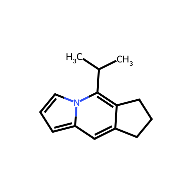 CC(C)c1c2c(cc3cccn13)CCC2